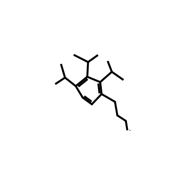 [CH2]CCCc1ccc(C(C)C)c(C(C)C)c1C(C)C